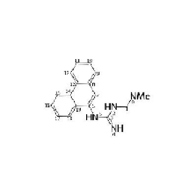 CNCNC(=N)Nc1cc2ccccc2c2ccccc12